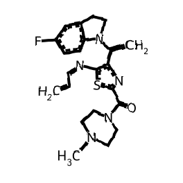 C=C/C=N\c1sc(C(=O)N2CCN(C)CC2)nc1C(=C)N1CCc2cc(F)ccc21